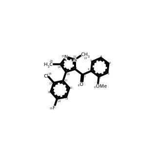 COc1ccccc1C(=O)c1c(-c2ccc(F)cc2Cl)c(C)nn1C